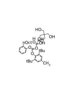 CCCCCCCCc1ccccc1OP(Oc1c(C(C)(C)C)cc(C)cc1C(C)(C)C)OP(O)O.OCC(CO)(CO)CO